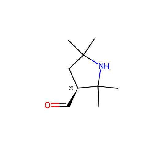 CC1(C)C[C@H](C=O)C(C)(C)N1